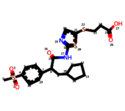 CS(=O)(=O)c1ccc(C(CC2CCCC2)C(=O)Nc2ncc(SCCC(=O)O)s2)cc1